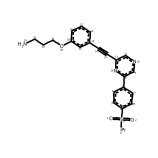 CC(C)S(=O)(=O)c1ccc(-c2cncc(C#Cc3cccc(OCCCN)c3)n2)cc1